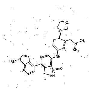 CN(C)CC1=NC(Nc2cnc(-c3ccnc4c3ccn4C)c3c2C(=O)NC3)=CCC1[C@H]1CCOC1